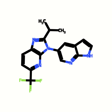 CC(C)c1nc2ccc(C(F)(F)F)nc2n1-c1cnc2[nH]ccc2c1